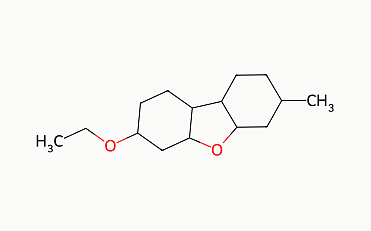 CCOC1CCC2C(C1)OC1CC(C)CCC12